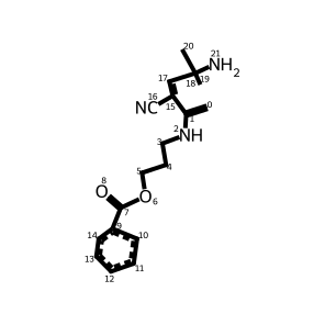 C=C(NCCCOC(=O)c1ccccc1)/C(C#N)=C\C(C)(C)N